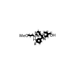 COCCCNc1nccc(-c2c(-c3ccc(F)cc3)nc3cc(CO)ccn23)n1